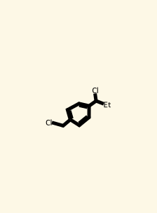 CCC(Cl)c1ccc(CCl)cc1